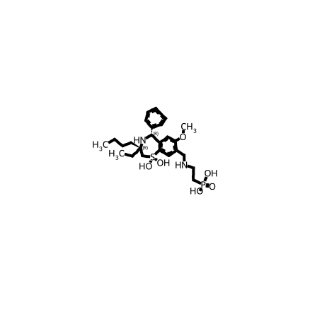 CCCC[C@]1(CC)CS(O)(O)c2cc(CNCCP(=O)(O)O)c(OC)cc2[C@@H](c2ccccc2)N1